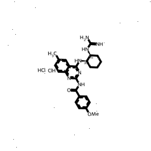 COc1ccc(C(=O)Nc2nc(N[C@@H]3CCCC[C@@H]3NC(=N)N)c3cc(C)ccc3n2)cc1.Cl.Cl